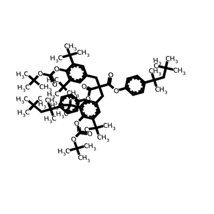 CC(C)(C)CC(C)(C)c1ccc(OC(=O)C(Cc2cc(C(C)(C)C)c(OC(=O)OC(C)(C)C)c(C(C)(C)C)c2)(Cc2cc(C(C)(C)C)c(OC(=O)OC(C)(C)C)c(C(C)(C)C)c2)C(=O)Oc2ccc(C(C)(C)CC(C)(C)C)cc2)cc1